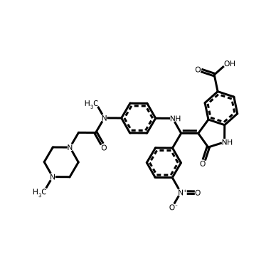 CN1CCN(CC(=O)N(C)c2ccc(NC(=C3C(=O)Nc4ccc(C(=O)O)cc43)c3cccc([N+](=O)[O-])c3)cc2)CC1